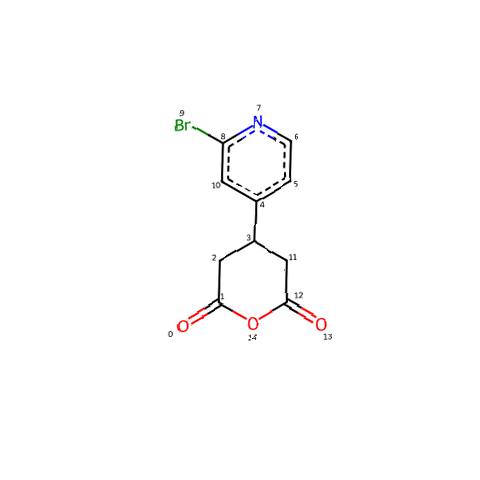 O=C1CC(c2ccnc(Br)c2)CC(=O)O1